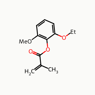 C=C(C)C(=O)Oc1c(OC)cccc1OCC